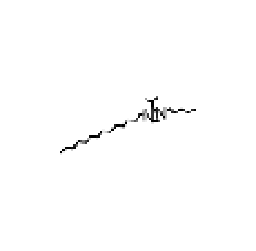 CCCCCCCCCCCCCCn1cc[n+](CCCCC)c1C(C)C